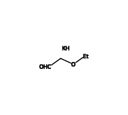 CCOCC=O.[KH]